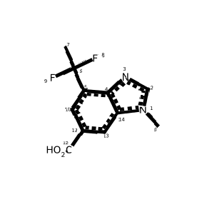 Cn1cnc2c(C(C)(F)F)cc(C(=O)O)cc21